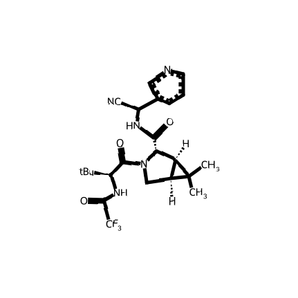 CC(C)(C)[C@H](NC(=O)C(F)(F)F)C(=O)N1C[C@H]2[C@@H]([C@H]1C(=O)NC(C#N)c1cccnc1)C2(C)C